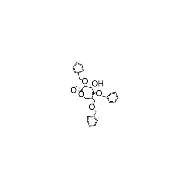 O=C[C@H]1OCC(COCc2ccccc2)[C@@H](OCc2ccccc2)C(O)C1OCc1ccccc1